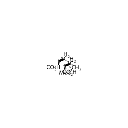 C=CC(=O)O.C=CC(=O)O.COC